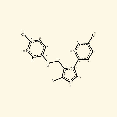 Cc1nnn(-c2ccc(Cl)cn2)c1COc1ccc(Cl)nn1